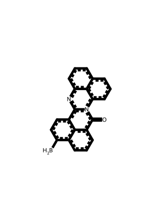 Bc1ccc2c3c1cccc3c(=O)n1c3cccc4cccc(nc21)c43